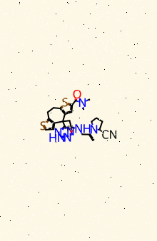 C=C(CN[C@H](I)CC1(c2nn[nH]n2)c2ccsc2CCc2sc(C(=O)N(C)C)cc21)N1CCCC1C#N